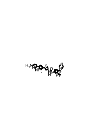 CN1CCN(Cc2ccc(NC(=O)Nc3cc(-c4ccc(-c5ccc(N)nc5N)cc4)n(C)n3)cc2C(F)(F)F)CC1